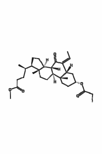 C/C=C1\C(=O)[C@@H]2[C@H](CC[C@]3(C)[C@@H]([C@H](C)CCC(=O)OC)CC[C@@H]23)[C@@]2(C)CC[C@@H](OC(=O)CC)C[C@@H]12